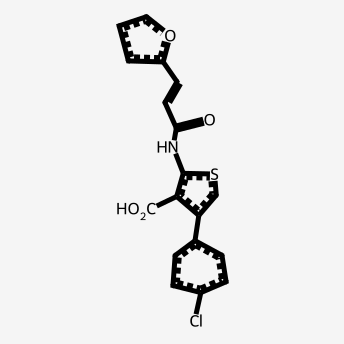 O=C(/C=C/c1ccco1)Nc1scc(-c2ccc(Cl)cc2)c1C(=O)O